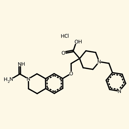 Cl.N=C(N)N1CCc2ccc(OCC3(C(=O)O)CCN(Cc4ccncc4)CC3)cc2C1